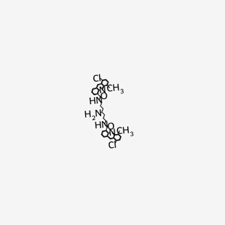 Cc1ccc(Cl)c2cc3cccc(C(=O)NCCCC(N)CCCNC(=O)c4cccc5cc6c(Cl)ccc(C)c6nc45)c3nc12